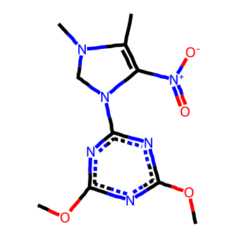 COc1nc(OC)nc(N2CN(C)C(C)=C2[N+](=O)[O-])n1